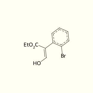 CCOC(=O)C(=CO)c1ccccc1Br